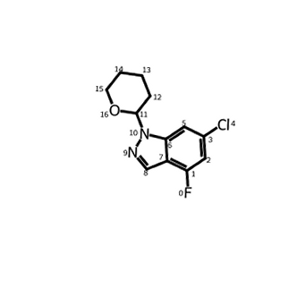 Fc1cc(Cl)cc2c1cnn2C1CCCCO1